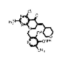 COc1c(C)cnc(CN2CC(=CC3CCOCC3)C(=O)c3c(Cl)nc(N)nc32)c1C